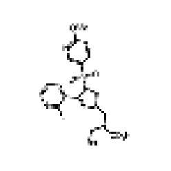 COc1ccc(S(=O)(=O)n2cc(CN(CC(C)(C)C)C(=O)O)cc2-c2cccnc2F)cn1